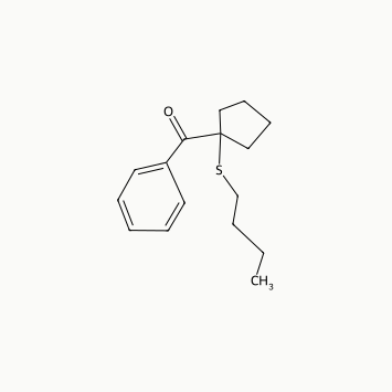 CCCCSC1(C(=O)c2ccccc2)CCCC1